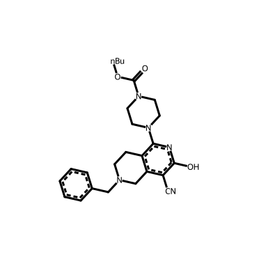 CCCCOC(=O)N1CCN(c2nc(O)c(C#N)c3c2CCN(Cc2ccccc2)C3)CC1